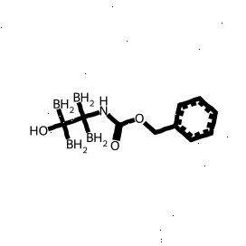 BC(B)(O)C(B)(B)NC(=O)OCc1ccccc1